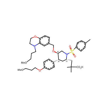 COCCCOc1ccc([C@H]2C[C@@H](CC(C)(C)C(=O)O)N(S(=O)(=O)c3ccc(C)cc3)C[C@@H]2OCc2ccc3c(c2)N(CCCOC)CCO3)cc1